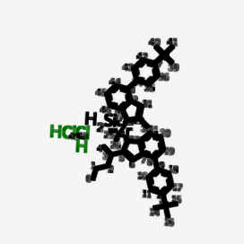 CCCC(C)C1=Cc2c(-c3ccc(C(C)(C)C)cc3)cccc2[CH]1[Zr]([CH3])([CH3])(=[SiH2])[CH]1C(C)=Cc2c(-c3ccc(C(C)(C)C)cc3)cccc21.Cl.Cl